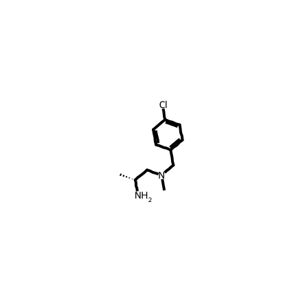 C[C@@H](N)CN(C)Cc1ccc(Cl)cc1